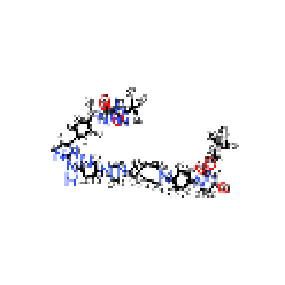 Cc1cc(-c2ccnc(Nc3ccc(N4CCN(C5CC6(CCN(c7ccc(N8CCC(=O)N(COCC[Si](C)(C)C)C8=O)cc7)CC6)C5)CC4)cn3)n2)ccc1[C@@H](C)NC(=O)c1nc(C(C)(C)C)no1